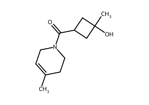 CC1=CCN(C(=O)C2CC(C)(O)C2)CC1